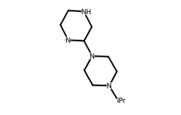 CC(C)N1CCN(C2CNCC[N]2)CC1